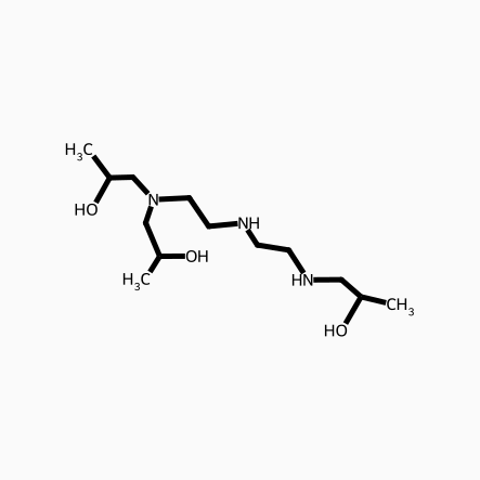 CC(O)CNCCNCCN(CC(C)O)CC(C)O